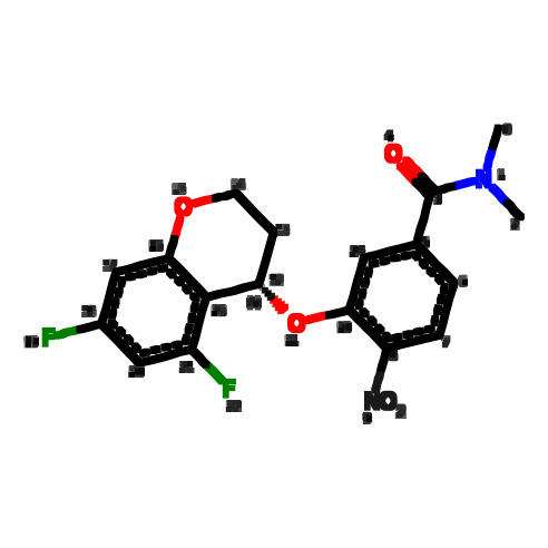 CN(C)C(=O)c1ccc([N+](=O)[O-])c(O[C@H]2CCOc3cc(F)cc(F)c32)c1